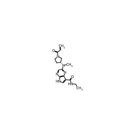 C=CC(=O)N1CC[C@@H](N(C)c2cnc3[nH]cc(C(=O)NCC)c3n2)C1